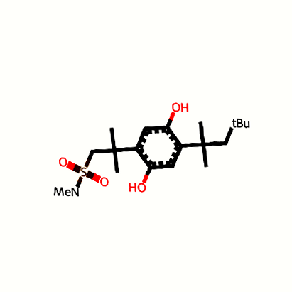 CNS(=O)(=O)CC(C)(C)c1cc(O)c(C(C)(C)CC(C)(C)C)cc1O